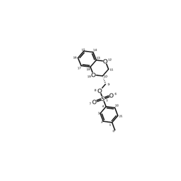 Cc1ccc(S(=O)(=O)OC[C@H]2COc3ccccc3O2)cc1